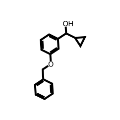 OC(c1cccc(OCc2ccccc2)c1)C1CC1